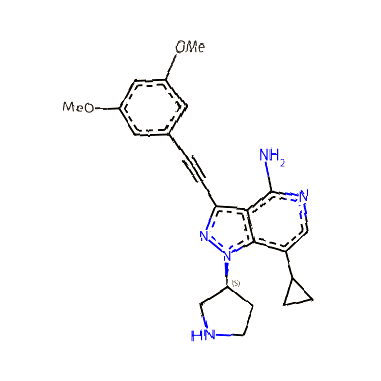 COc1cc(C#Cc2nn([C@H]3CCNC3)c3c(C4CC4)cnc(N)c23)cc(OC)c1